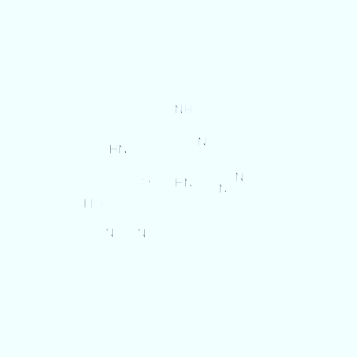 C[n+]1ccn(CCCNc2nn3ccccc3c2/N=C2\C=C(OCCO)C(=N)C=C2N)c1